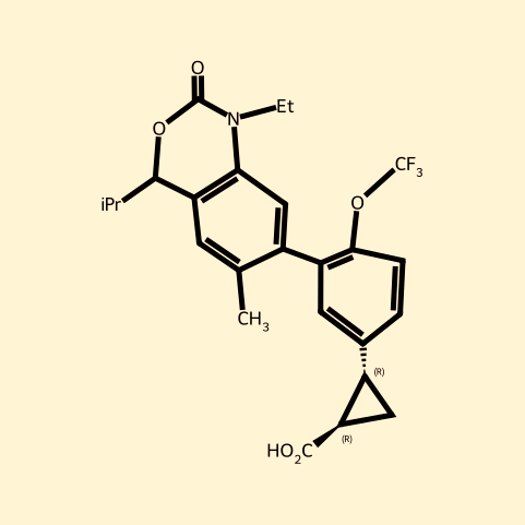 CCN1C(=O)OC(C(C)C)c2cc(C)c(-c3cc([C@@H]4C[C@H]4C(=O)O)ccc3OC(F)(F)F)cc21